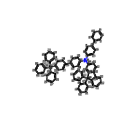 c1ccc(-c2ccc(N(c3ccc(-c4ccc([Si](c5ccccc5)(c5ccccc5)c5ccccc5)cc4)cc3)c3ccc4c(c3)C(c3ccccc3)(c3ccccc3)c3ccccc3-4)cc2)cc1